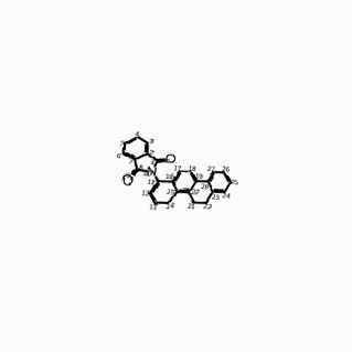 O=C1c2ccccc2C(=O)N1C1=CCCc2c1ccc1c2CCc2ccccc2-1